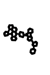 c1ccc(-c2cccc(-c3ccc4c(c3)c3ccccc3n4-c3ccc(-c4c5ccccc5c(-c5ccccc5-c5ccccc5)c5ccccc45)cc3)c2)cc1